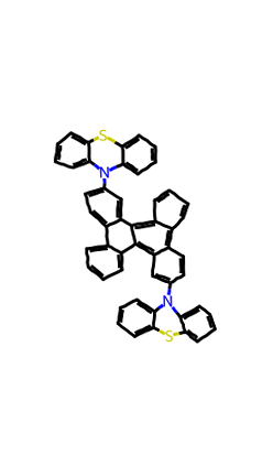 c1ccc2c(c1)Sc1ccccc1N2c1ccc2c3ccccc3c3c4cc(N5c6ccccc6Sc6ccccc65)ccc4c4ccccc4c3c2c1